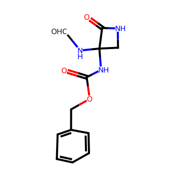 O=CNC1(NC(=O)OCc2ccccc2)CNC1=O